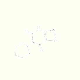 O=c1[nH]c2nc[nH]c2c(=O)n1C1CCCCC1